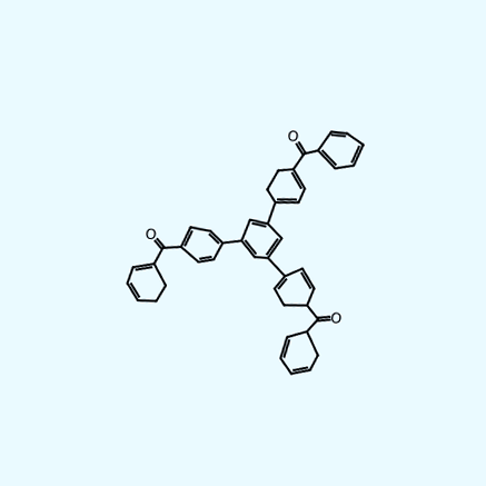 O=C(C1=CC=CCC1)c1ccc(-c2cc(C3=CCC(C(=O)C4C=CC=CC4)C=C3)cc(C3=CC=C(C(=O)c4ccccc4)CC3)c2)cc1